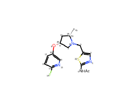 CC(=O)Nc1ncc(CN2C[C@H](Oc3ccc(F)nc3)C[C@@H]2C)s1